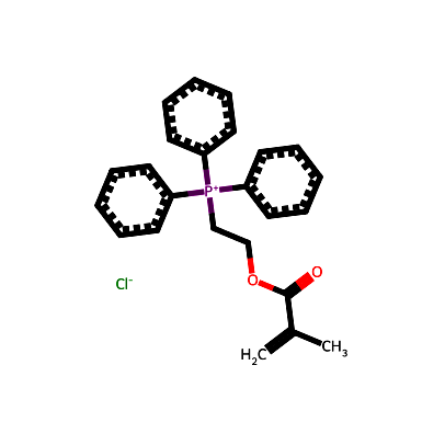 C=C(C)C(=O)OCC[P+](c1ccccc1)(c1ccccc1)c1ccccc1.[Cl-]